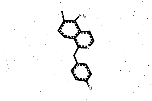 Cc1ccc2c(Cc3ccc(Cl)cc3)nccc2c1N